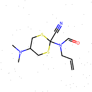 C=CCN(C=O)C1(C#N)SCC(N(C)C)CS1